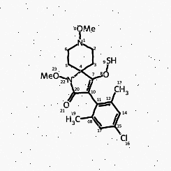 CON1CCC2(CC1)C(OS)=C(c1c(C)cc(Cl)cc1C)C(=O)N2OC